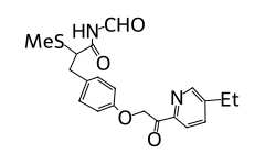 CCc1ccc(C(=O)COc2ccc(CC(SC)C(=O)NC=O)cc2)nc1